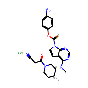 C[C@@H]1CCN(C(=O)CC#N)C[C@@H]1N(C)c1ncnc2c1ccn2C(=S)Oc1ccc(N)cc1.Cl